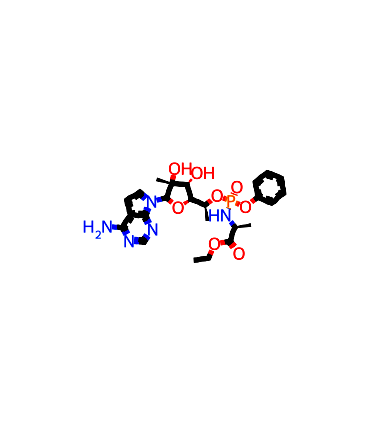 CCOC(=O)[C@H](C)NP(=O)(Oc1ccccc1)O[C@@H](C)[C@H]1OC(n2ccc3c(N)ncnc32)[C@](C)(O)[C@@H]1O